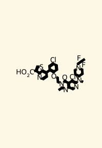 Cc1nc2cnc(N(C)C3CCN(CC(C)(F)F)CC3)c(C#N)c2c(=O)n1CCOc1ccc(Cl)cc1-c1ccnc2c(C(=O)O)csc12